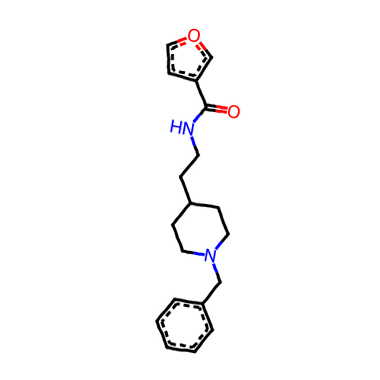 O=C(NCCC1CCN(Cc2ccccc2)CC1)c1ccoc1